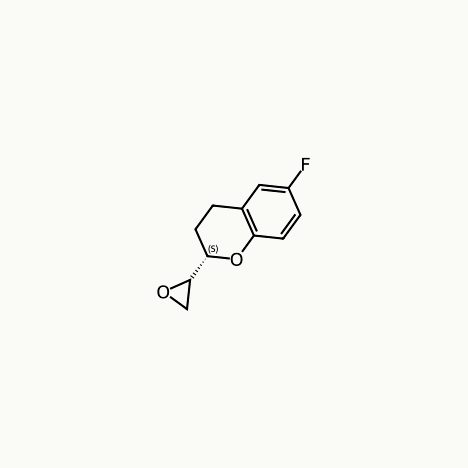 Fc1ccc2c(c1)CC[C@@H](C1CO1)O2